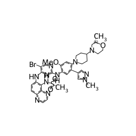 COc1cc(N2CCC(N3CCO[C@@H](C)C3)CC2)c(-c2cnn(C)c2)cc1Nc1ncc(Br)c(Nc2ccc3nccnc3c2NS(C)(=O)=O)n1